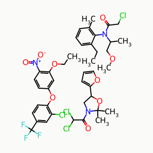 CC1(C)OC(c2ccco2)CN1C(=O)C(Cl)Cl.CCOc1cc(Oc2ccc(C(F)(F)F)cc2Cl)ccc1[N+](=O)[O-].CCc1cccc(C)c1N(C(=O)CCl)C(C)COC